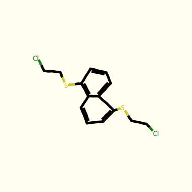 ClCCSc1cccc2c(SCCCl)cccc12